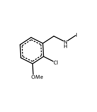 COc1cccc(CNI)c1Cl